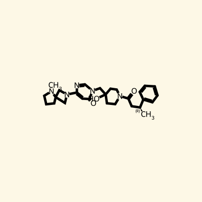 C[C@H](CC(=O)N1CCC(O)(Cn2cnc(N3CC4(CCCN4C)C3)cc2=O)CC1)c1ccccc1